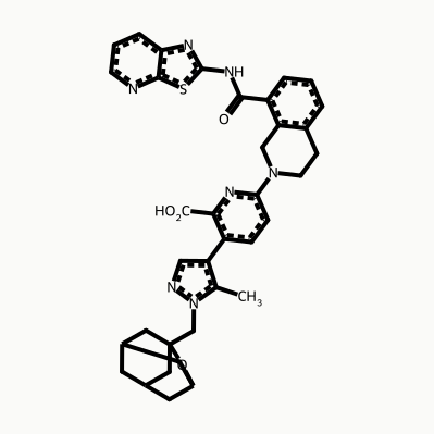 Cc1c(-c2ccc(N3CCc4cccc(C(=O)Nc5nc6cccnc6s5)c4C3)nc2C(=O)O)cnn1CC12CC3CC(CC(C3)O1)C2